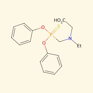 CCN(CC(=O)O)CP(=S)(Oc1ccccc1)Oc1ccccc1